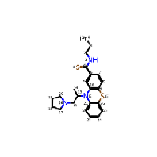 CC(C)CCNC(=S)c1ccc2c(c1)N(C(C)CN1CCCC1)c1ccccc1S2